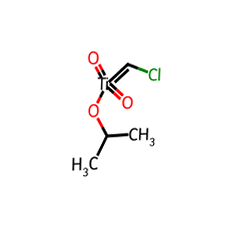 CC(C)[O][Ti](=[O])(=[O])=[CH]Cl